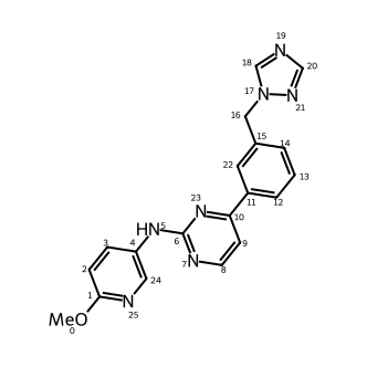 COc1ccc(Nc2nccc(-c3cccc(Cn4cncn4)c3)n2)cn1